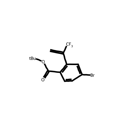 C=C(c1cc(Br)ccc1C(=O)OC(C)(C)C)C(F)(F)F